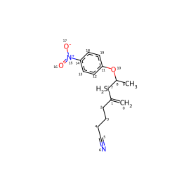 C=C(CCCC#N)[SiH2]C(C)Oc1ccc([N+](=O)[O-])cc1